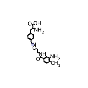 Cc1ccc(C(=O)NCCO/N=C/c2ccc(CC(N)C(=O)O)cc2)cc1N